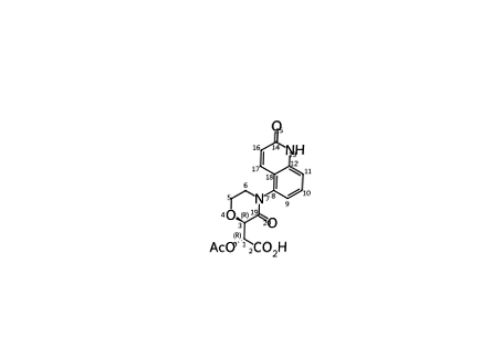 CC(=O)O[C@@H](C(=O)O)[C@H]1OCCN(c2cccc3[nH]c(=O)ccc23)C1=O